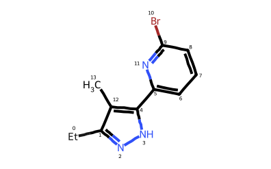 CCc1n[nH]c(-c2cccc(Br)n2)c1C